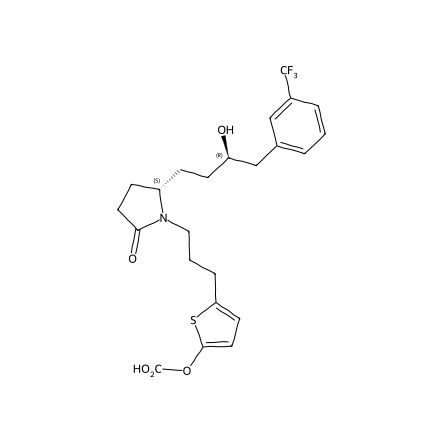 O=C(O)Oc1ccc(CCCN2C(=O)CC[C@@H]2CC[C@@H](O)Cc2cccc(C(F)(F)F)c2)s1